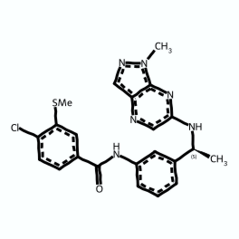 CSc1cc(C(=O)Nc2cccc([C@H](C)Nc3cnc4cnn(C)c4n3)c2)ccc1Cl